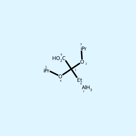 CCC(OC(C)C)(OC(C)C)C(=O)O.[AlH3]